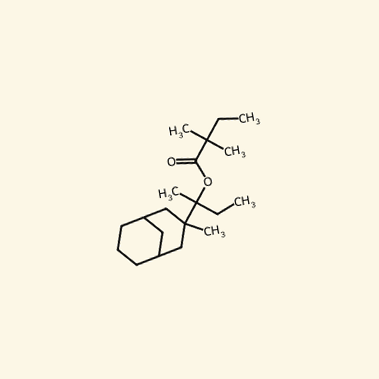 CCC(C)(C)C(=O)OC(C)(CC)C1(C)CC2CCCC(C2)C1